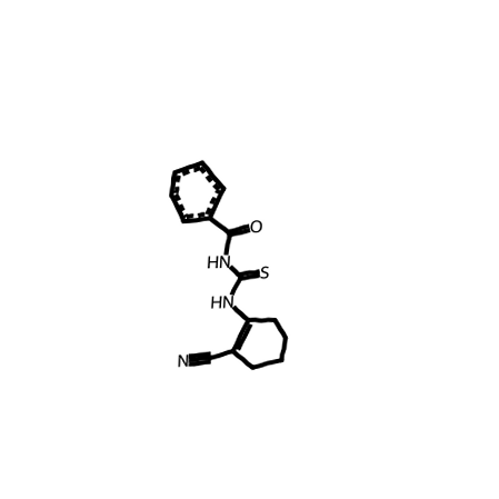 N#CC1=C(NC(=S)NC(=O)c2ccccc2)CCCC1